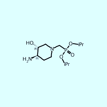 CC(C)OP(=O)(CN1CC[C@@H](N)[C@H](O)C1)OC(C)C